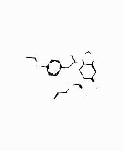 C=CCOC(=O)[C@@H]1C[C@]2(C(C)Cc3ccc(OCC)cc3)OCOC2=CC1=O